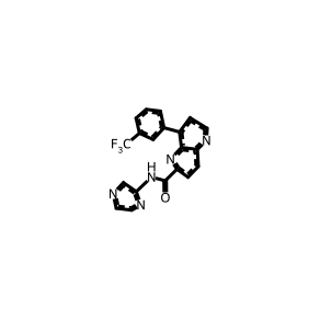 O=C(Nc1cnccn1)c1ccc2nccc(-c3cccc(C(F)(F)F)c3)c2n1